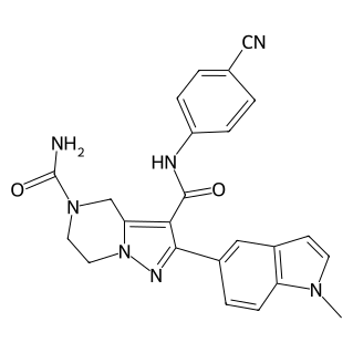 Cn1ccc2cc(-c3nn4c(c3C(=O)Nc3ccc(C#N)cc3)CN(C(N)=O)CC4)ccc21